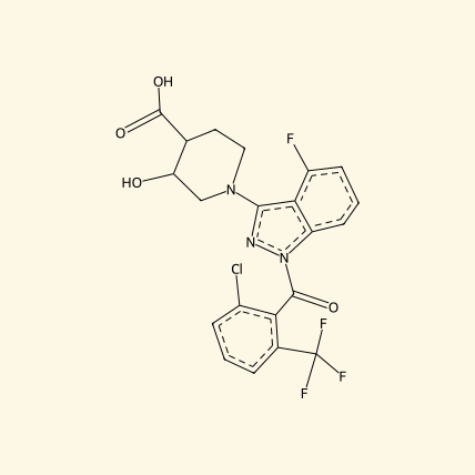 O=C(O)C1CCN(c2nn(C(=O)c3c(Cl)cccc3C(F)(F)F)c3cccc(F)c23)CC1O